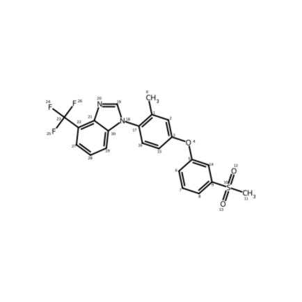 Cc1cc(Oc2cccc(S(C)(=O)=O)c2)ccc1-n1cnc2c(C(F)(F)F)cccc21